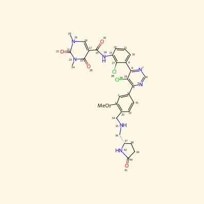 COc1cc(-c2ncnc(-c3cccc(NC(=O)c4cn(C)c(=O)n(C)c4=O)c3Cl)c2Cl)ccc1CNC[C@@H]1CCC(=O)N1